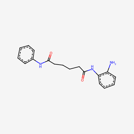 Nc1ccccc1NC(=O)CCCCC(=O)Nc1ccccc1